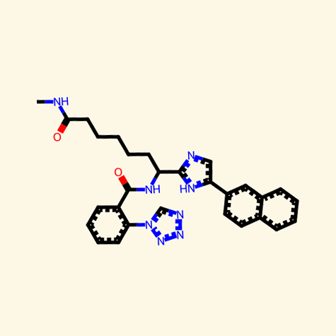 CNC(=O)CCCCCC(NC(=O)c1ccccc1-n1cnnn1)c1ncc(-c2ccc3ccccc3c2)[nH]1